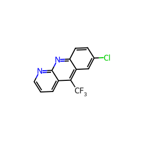 FC(F)(F)c1c2cc(Cl)ccc2nc2ncccc12